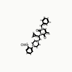 COc1ccccc1N1CCN(CC(C2CC2)n2c(=O)c(C)cn(Cc3ccccc3)c2=O)CC1